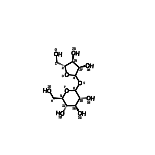 OC[C@H]1OC(OC2O[C@H](CO)[C@@H](O)[C@H](O)[C@H]2O)[C@H](O)[C@@H]1O